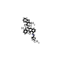 Cc1nc(/C=C/c2cccc3cc([C@H](C)NC(=O)c4c(N)nn5cccnc45)n(-c4ccccc4)c(=O)c23)cs1